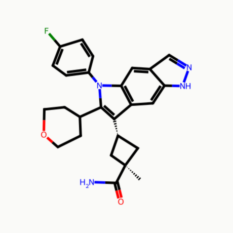 C[C@]1(C(N)=O)C[C@H](c2c(C3CCOCC3)n(-c3ccc(F)cc3)c3cc4cn[nH]c4cc32)C1